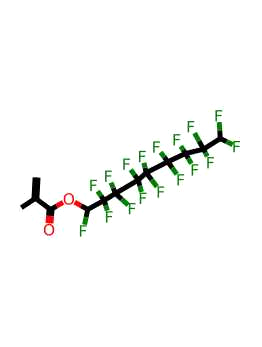 C=C(C)C(=O)OC(F)C(F)(F)C(F)(F)C(F)(F)C(F)(F)C(F)(F)C(F)(F)C(F)(F)C(F)F